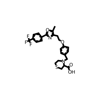 Cc1oc(-c2ccc(C(F)(F)F)cc2)nc1CCOc1ccc(CN2CCSCC2C(=O)O)cc1